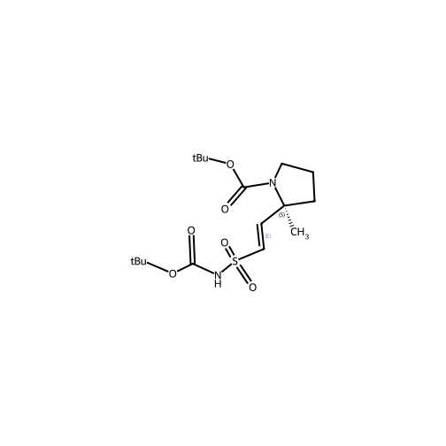 CC(C)(C)OC(=O)NS(=O)(=O)/C=C/[C@]1(C)CCCN1C(=O)OC(C)(C)C